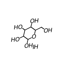 I.OCC1OC(O)C(O)C(O)C1O